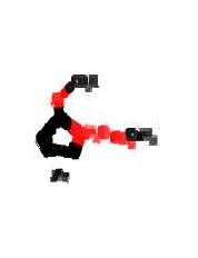 O.O.O=C(O)Oc1ccco1.[CaH2].[Zn]